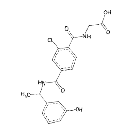 CC(NC(=O)c1ccc(C(=O)NCC(=O)O)c(Cl)c1)c1cccc(O)c1